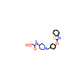 CN(C(=O)CO)C1CCN(Cc2ccc(Oc3nc4ccccc4s3)cc2)CC1